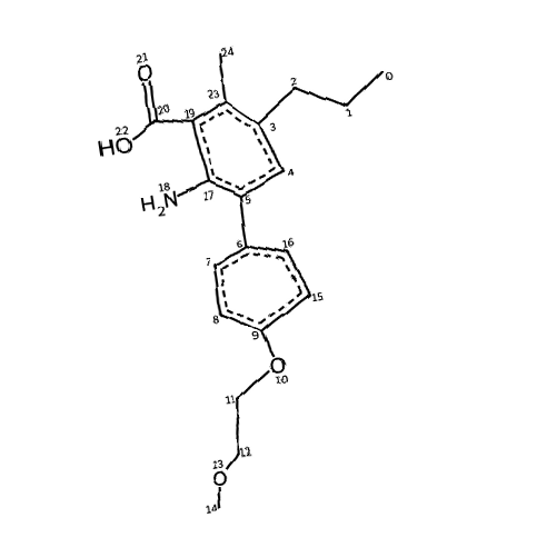 CCCc1cc(-c2ccc(OCCOC)cc2)c(N)c(C(=O)O)c1C